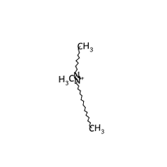 CCCCCCCCCCCCCCCCCC[n+]1ccn(CCCCCCCCCC)c1C